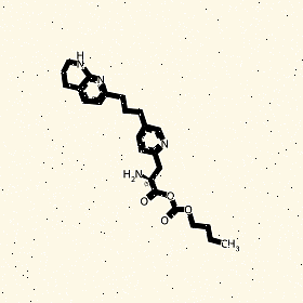 CCCCOC(=O)OC(=O)[C@@H](N)Cc1ccc(CCCc2ccc3c(n2)NCCC3)cn1